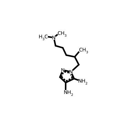 CC(CCCN(C)C)Cn1ncc(N)c1N